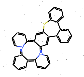 c1ccc2c(c1)sc1cc3c4cccc[n+]4c4ccccc4c4cccc[n+]4c3cc1c1ccccc21